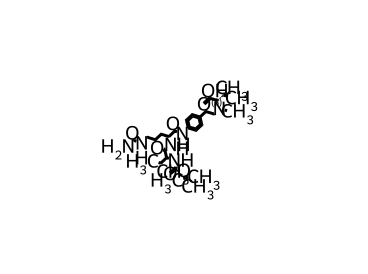 CC(C)C(NC(=O)OC(C)(C)C)C(=O)NC(CCCNC(N)=O)C(=O)Nc1ccc(CCN(C)[C@H](C(=O)O)C(C)C)cc1